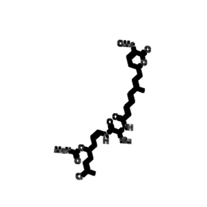 CNC(=O)OC(C/C=C\NC(=O)C(NC(=O)/C=C/C=C/C(C)=C/CC1CC=C(OC)C(=O)O1)C(C)(C)C)C/C=C(\C)Cl